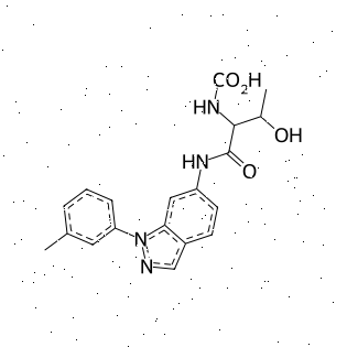 Cc1cccc(-n2ncc3ccc(NC(=O)C(NC(=O)O)C(C)O)cc32)c1